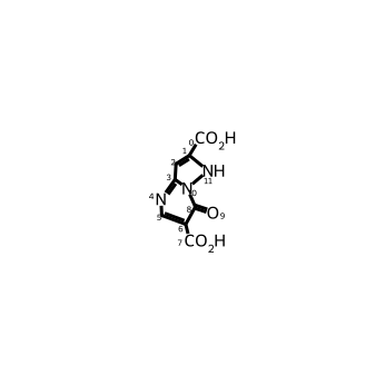 O=C(O)c1cc2ncc(C(=O)O)c(=O)n2[nH]1